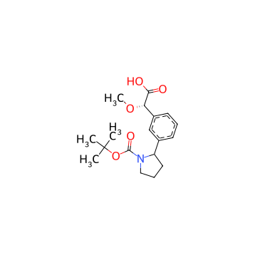 CO[C@H](C(=O)O)c1cccc(C2CCCN2C(=O)OC(C)(C)C)c1